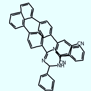 N#Cc1cc(C#N)cc(-c2ccc(-c3cccc4cccc(-c5ccc(C6=NC(c7ccccc7)NC(c7ccccc7)=N6)cc5)c34)cc2)c1